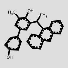 Cc1cc(-c2ccc(O)cc2)cc(C(C)c2c3ccccc3cc3ccccc23)c1O